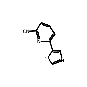 [C-]#[N+]c1cccc(-c2cnco2)n1